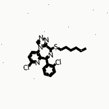 CCCCCCSC1N=C(c2ccccc2Cl)c2nc(Cl)ccc2-n2cnnc21